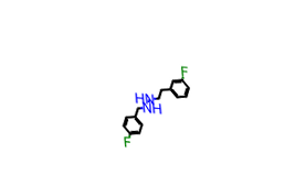 Fc1ccc(CNNCCc2cccc(F)c2)cc1